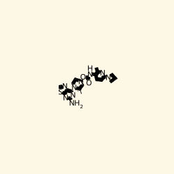 Cc1nc(N2CCC2)ccc1NC(=O)ON1CCN(c2nc(N)nc3scnc23)[C@@H](C)C1